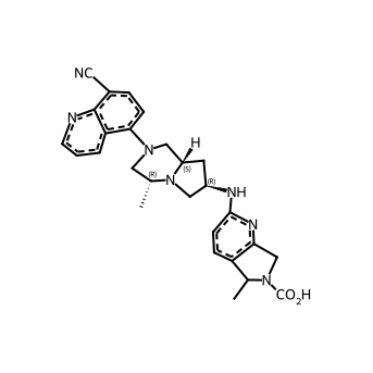 CC1c2ccc(N[C@@H]3C[C@H]4CN(c5ccc(C#N)c6ncccc56)C[C@@H](C)N4C3)nc2CN1C(=O)O